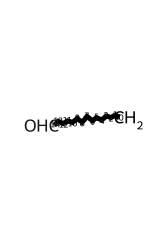 C=CCCCCCCCCCCCCC=O